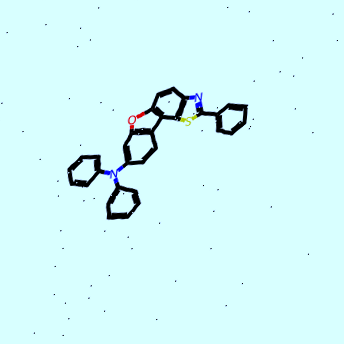 c1ccc(-c2nc3ccc4oc5cc(N(c6ccccc6)c6ccccc6)ccc5c4c3s2)cc1